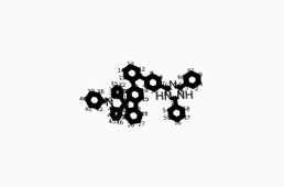 c1ccc(C2N=C(c3ccc(-c4ccccc4-c4ccc5c(c4)C4(c6ccccc6-5)c5ccccc5N(c5ccccc5)c5ccccc54)cc3)NC(c3ccccc3)N2)cc1